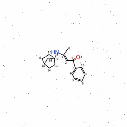 CC(=CC(=O)c1ccccc1)NC12CCC(CC1)C2